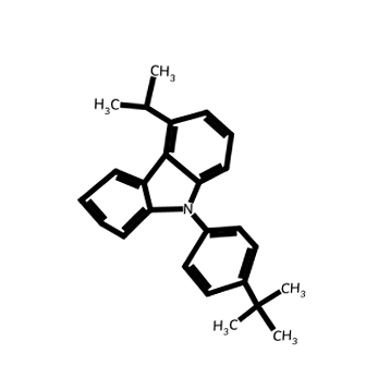 CC(C)c1cccc2c1c1ccccc1n2-c1ccc(C(C)(C)C)cc1